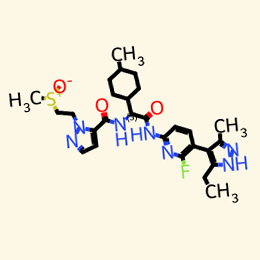 CCc1[nH]nc(C)c1-c1ccc(NC(=O)[C@@H](NC(=O)c2ccnn2CC[S+](C)[O-])C2CCC(C)CC2)nc1F